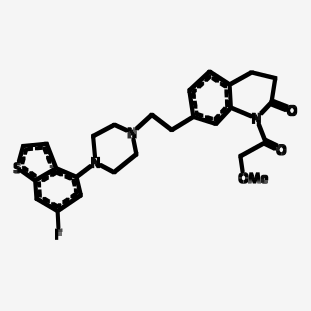 COCC(=O)N1C(=O)CCc2ccc(CCN3CCN(c4cc(F)cc5sccc45)CC3)cc21